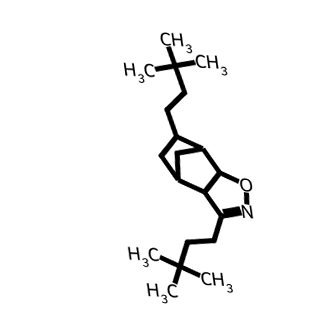 CC(C)(C)CCC1=NOC2C3CC(CC3CCC(C)(C)C)C12